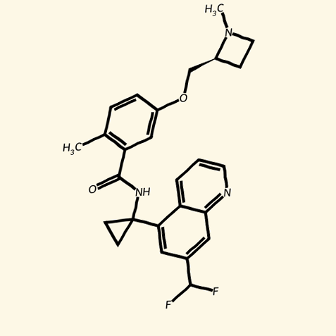 Cc1ccc(OC[C@@H]2CCN2C)cc1C(=O)NC1(c2cc(C(F)F)cc3ncccc23)CC1